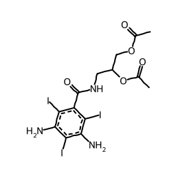 CC(=O)OCC(CNC(=O)c1c(I)c(N)c(I)c(N)c1I)OC(C)=O